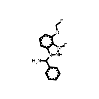 NC(c1ccccc1)N1NN(F)c2c(OCF)cccc21